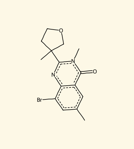 Cc1cc(Br)c2nc(C3(C)CCOC3)n(C)c(=O)c2c1